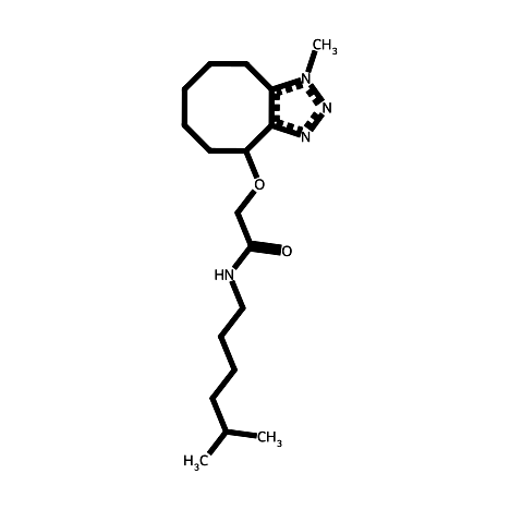 CC(C)CCCCNC(=O)COC1CCCCCc2c1nnn2C